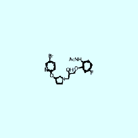 CC(=O)Nc1ccc(F)cc1OC[C@H](O)CN1CCC(Oc2ccc(Br)cn2)C1